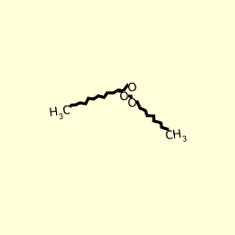 CCCCCCCCCCCC=C(C=O)OCOCCCCCCCCCC